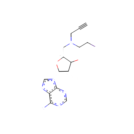 C#CCN(CCI)C[C@H]1O[C@@H](n2cnc3c(N)ncnc32)[C@@H](O)C1O